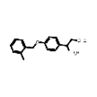 Cc1ccccc1COc1ccc(C(CC=O)C(=O)O)cc1